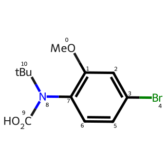 COc1cc(Br)ccc1N(C(=O)O)C(C)(C)C